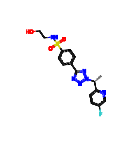 C[C@H](c1ccc(F)cn1)n1nnc(-c2ccc(S(=O)(=O)NCCO)cc2)n1